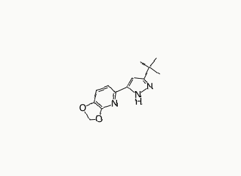 CC(C)(C)c1cc(-c2ccc3c(n2)OCO3)[nH]n1